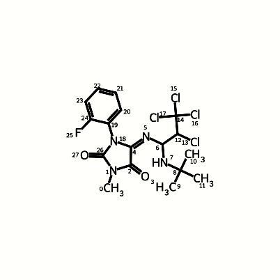 CN1C(=O)C(=NC(NC(C)(C)C)C(Cl)C(Cl)(Cl)Cl)N(c2ccccc2F)C1=O